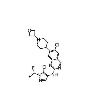 FC(F)n1ncc(Nc2ncc3cc(Cl)c(C4CCN(C5COC5)CC4)cc3n2)c1Cl